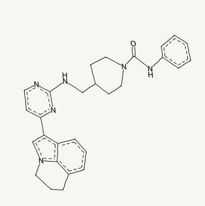 O=C(Nc1ccccc1)N1CCC(CNc2nccc(-c3cn4c5c(cccc35)CCC4)n2)CC1